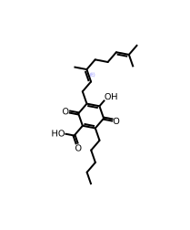 CCCCCC1=C(C(=O)O)C(=O)C(C/C=C(\C)CCC=C(C)C)=C(O)C1=O